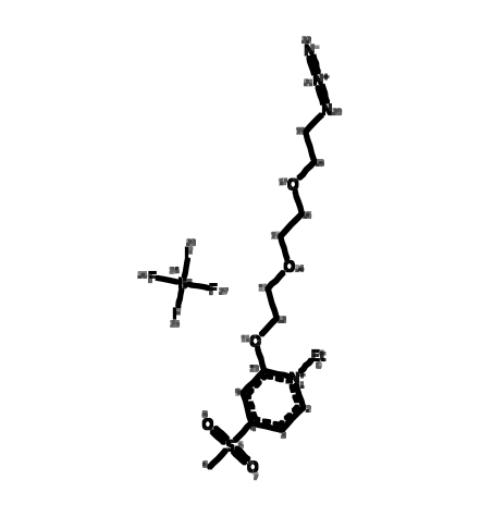 CC[n+]1ccc(S(C)(=O)=O)cc1OCCOCCOCCN=[N+]=[N-].F[B-](F)(F)F